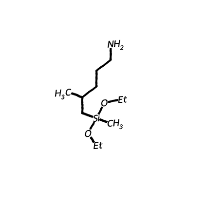 CCO[Si](C)(CC(C)CCCN)OCC